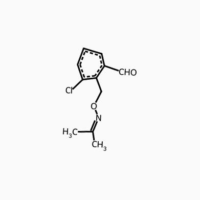 CC(C)=NOCc1c(Cl)cccc1C=O